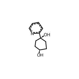 O[C@H]1CC[C@](O)(c2ccccn2)CC1